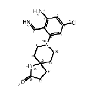 N=Cc1c(N)cc(Cl)cc1N1CCC2(CCC(=O)N2)CC1